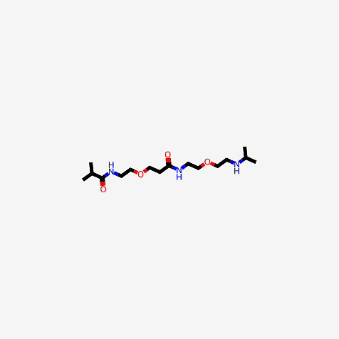 CC(C)NCCOCCNC(=O)CCOCCNC(=O)C(C)C